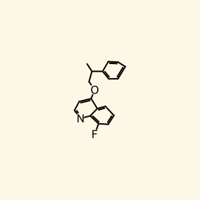 CC(COc1ccnc2c(F)cccc12)c1ccccc1